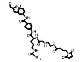 NC(=O)NCCCC(NC(=O)CNCCNC(=O)CCCN1C(=O)C=CC1=O)C(=O)Nc1ccc(C(=O)Nc2ccc3[nH]c(C=O)cc3c2)cc1